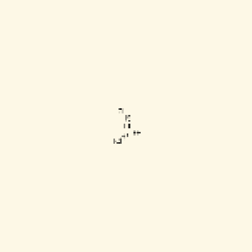 Cl.Cl.F.F.F.[P]